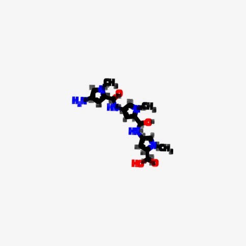 Cn1cc(NC(=O)c2cc(NC(=O)c3cc(N)cn3C)cn2C)cc1C(=O)O